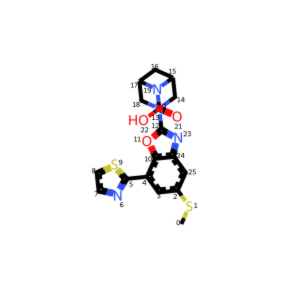 CSc1cc(-c2nccs2)c2oc(N3CC4CC(C3)N4C(=O)O)nc2c1